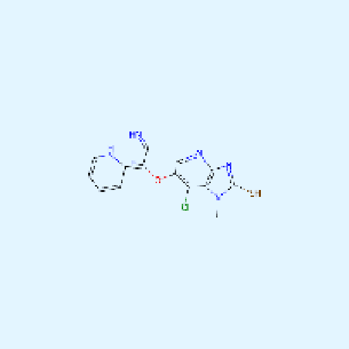 Cn1c(S)nc2ncc(O/C(C=N)=C3\C=CC=CN3)c(Cl)c21